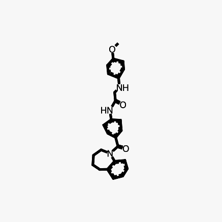 COc1ccc(NCC(=O)Nc2ccc(C(=O)N3CCCCc4ccccc43)cc2)cc1